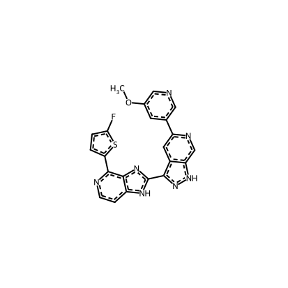 COc1cncc(-c2cc3c(-c4nc5c(-c6ccc(F)s6)nccc5[nH]4)n[nH]c3cn2)c1